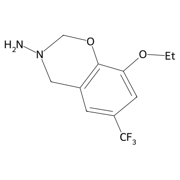 CCOc1cc(C(F)(F)F)cc2c1OCN(N)C2